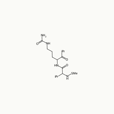 CSNC(C(=O)NC(CCCNC(N)=O)C(=O)C(C)C)C(C)C